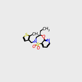 CC[C@@H]1CN(Cc2ccsc2C)S(=O)(=O)c2cccnc2O1